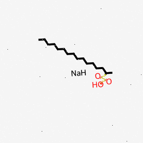 CCCCCCCCCCCCCCC(C)S(=O)(=O)O.[NaH]